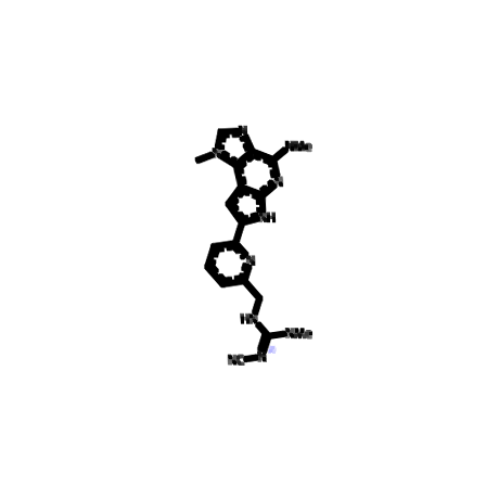 CN/C(=N/C#N)NCc1cccc(-c2cc3c(nc(NC)c4ncn(C)c43)[nH]2)n1